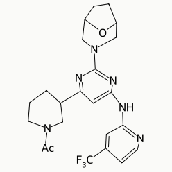 CC(=O)N1CCCC(c2cc(Nc3cc(C(F)(F)F)ccn3)nc(N3CC4CCC(C3)O4)n2)C1